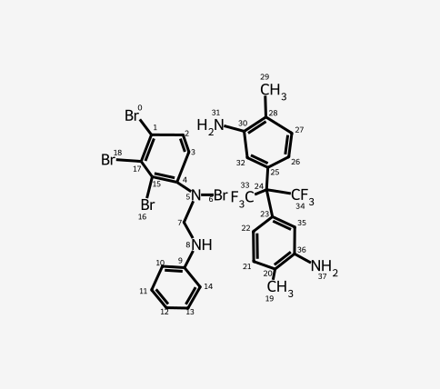 Brc1ccc(N(Br)CNc2ccccc2)c(Br)c1Br.Cc1ccc(C(c2ccc(C)c(N)c2)(C(F)(F)F)C(F)(F)F)cc1N